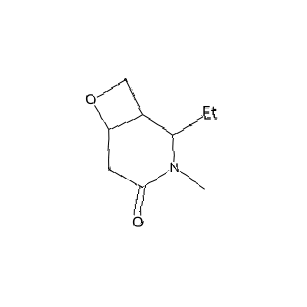 CCC1C2COC2CC(=O)N1C